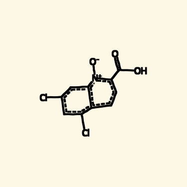 O=C(O)c1ccc2c(Cl)cc(Cl)cc2[n+]1[O-]